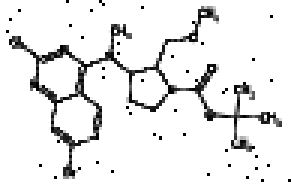 COCC1C(N(C)c2nc(Cl)nc3cc(Br)ccc23)CCN1C(=O)OC(C)(C)C